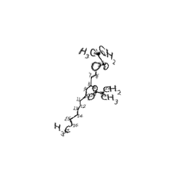 C=C(C)C(=O)OCCC(CCCCCCCCC)OC(=O)C(=C)C